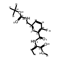 C/C=C(/NC(=O)c1nc(CNC(=O)OC(C)(C)C)ccc1F)C(=O)OC